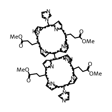 COC(=O)CCc1c2nc(c(-n3ccnc3)c3ccc([nH]3)c(CCC(=O)OC)c3nc(c(-c4c5nc(c(CCC(=O)OC)c6ccc([nH]6)c(-n6ccnc6)c6nc(c(CCC(=O)OC)c7ccc4[nH]7)C=C6)C=C5)c4ccc1[nH]4)C=C3)C=C2